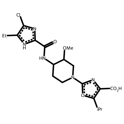 CCc1[nH]c(C(=O)NC2CCN(c3nc(C(=O)O)c(C(C)C)o3)CC2OC)nc1Cl